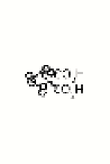 O=C(O)CCCCCCC(CCC1CC=CC=C1OCCc1cccc2c1CCCC2)[C@H]1CCCc2cc(C(=O)O)ccc21